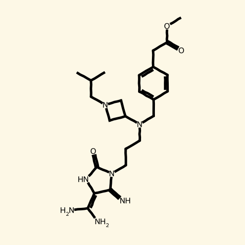 COC(=O)Cc1ccc(CN(CCCN2C(=N)C(=C(N)N)NC2=O)C2CN(CC(C)C)C2)cc1